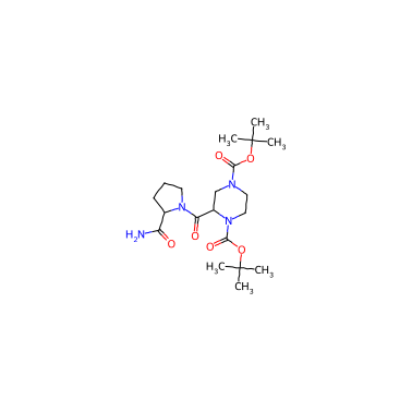 CC(C)(C)OC(=O)N1CCN(C(=O)OC(C)(C)C)C(C(=O)N2CCCC2C(N)=O)C1